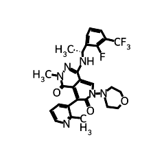 Cc1ncccc1-c1c(=O)n(N2CCOCC2)cc2c(N[C@H](C)c3cccc(C(F)(F)F)c3F)nn(C)c(=O)c12